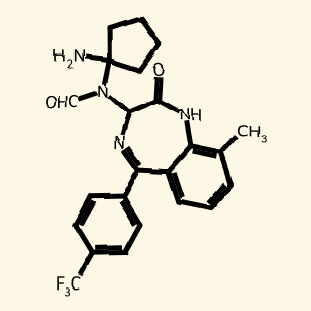 Cc1cccc2c1NC(=O)C(N(C=O)C1(N)CCCC1)N=C2c1ccc(C(F)(F)F)cc1